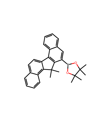 CC1(C)c2c(B3OC(C)(C)C(C)(C)O3)cc3ccccc3c2-c2ccc3ccccc3c21